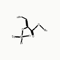 CCCCC=C(O[Si](CC)(CC)CC)C(=O)OC(C)(C)C